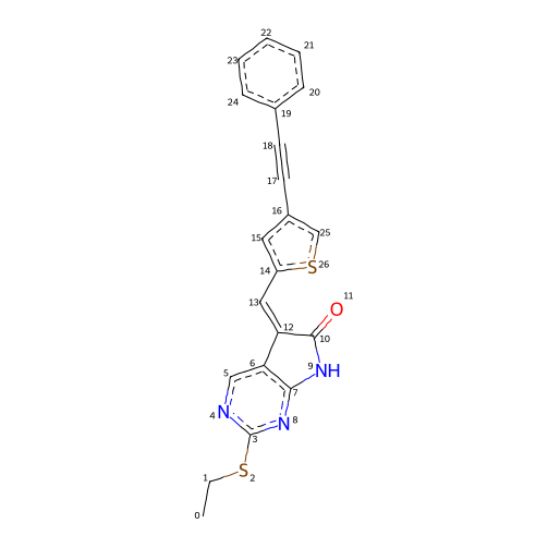 CCSc1ncc2c(n1)NC(=O)C2=Cc1cc(C#Cc2ccccc2)cs1